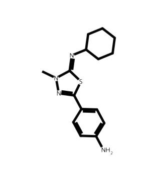 Cn1nc(-c2ccc(N)cc2)sc1=NC1CCCCC1